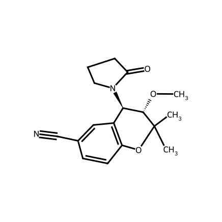 CO[C@H]1[C@H](N2CCCC2=O)c2cc(C#N)ccc2OC1(C)C